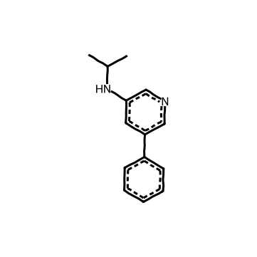 CC(C)Nc1cncc(-c2ccccc2)c1